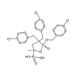 CC1(P(=O)(O)O)CC(Cc2ccc(Cl)cc2)(Cc2ccc(Cl)cc2)P(=O)(OCc2ccc(Cl)cc2)O1